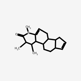 CC1C(=O)N(C)C2=CCC3C4CC=CC4CCC3C2C1C